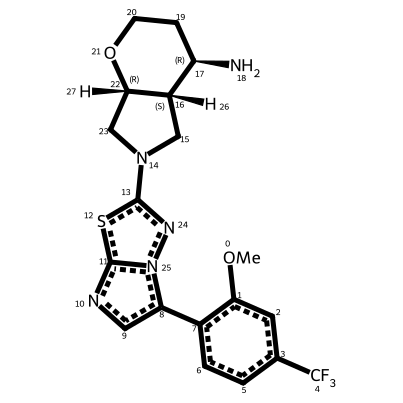 COc1cc(C(F)(F)F)ccc1-c1cnc2sc(N3C[C@H]4[C@H](N)CCO[C@H]4C3)nn12